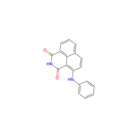 O=C1NC(=O)c2c(Nc3ccccc3)ccc3cccc1c23